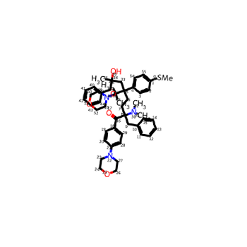 CSc1ccc(C(CCC(Cc2ccccc2)(C(=O)c2ccc(N3CCOCC3)cc2)N(C)C)(CC(C)(O)C(=O)c2ccccc2)C(C)(C)N2CCOCC2)cc1